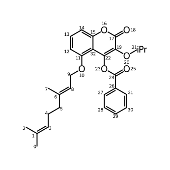 CC(C)=CCC/C(C)=C/COc1cccc2oc(=O)c(OC(C)C)c(OC(=O)c3ccccc3)c12